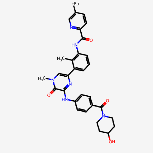 Cc1c(NC(=O)c2ccc(C(C)(C)C)cn2)cccc1-c1cn(C)c(=O)c(Nc2ccc(C(=O)N3CCC(O)CC3)cc2)n1